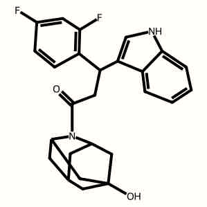 O=C(CC(c1ccc(F)cc1F)c1c[nH]c2ccccc12)N1C2CC3CC1CC(O)(C3)C2